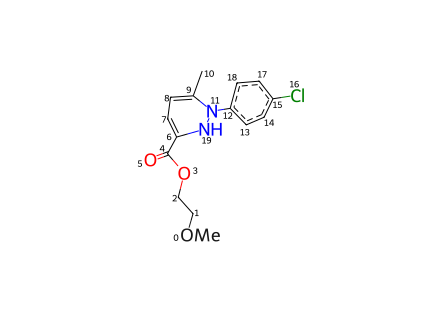 COCCOC(=O)C1=CC=C(C)N(c2ccc(Cl)cc2)N1